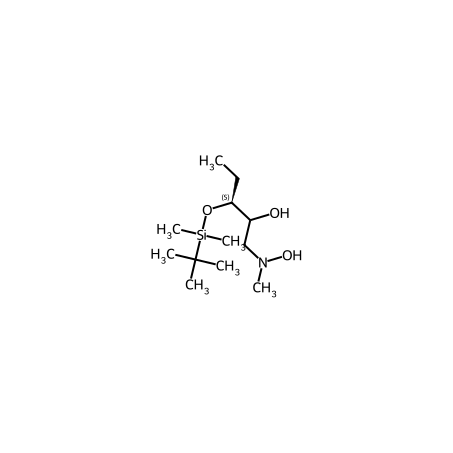 CC[C@H](O[Si](C)(C)C(C)(C)C)C(O)CN(C)O